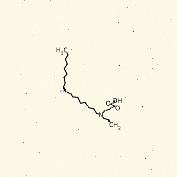 C=CCN(CCCCCCCC/C=C\CCCCCCCC)CCS(=O)(=O)O